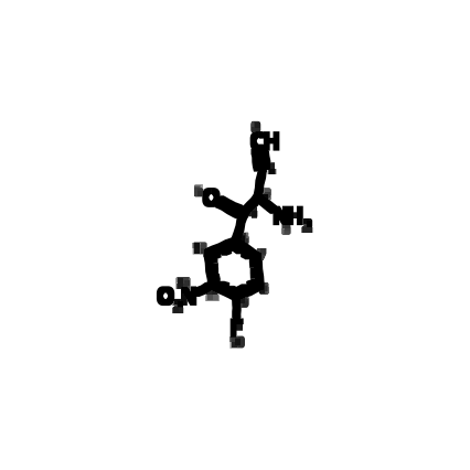 C#CC(N)C(=O)c1ccc(F)c([N+](=O)[O-])c1